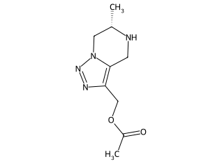 CC(=O)OCc1nnn2c1CN[C@@H](C)C2